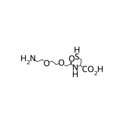 NCCOCCOCC(=O)N[C@@H](CS)C(=O)O